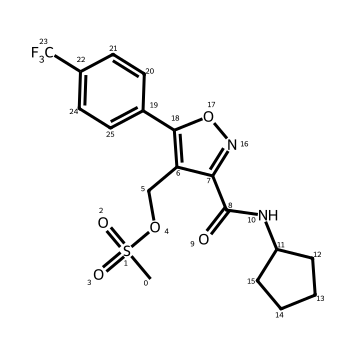 CS(=O)(=O)OCc1c(C(=O)NC2CCCC2)noc1-c1ccc(C(F)(F)F)cc1